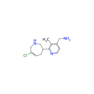 Cc1c(CN)ccnc1C1CC=C(Cl)CNC1